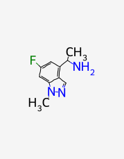 CC(N)c1cc(F)cc2c1cnn2C